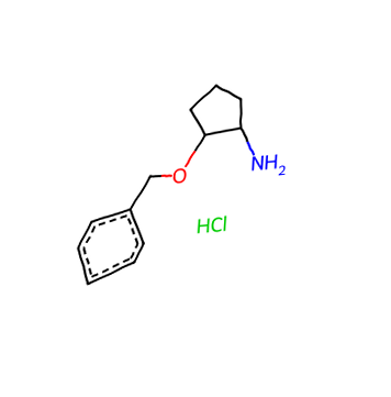 Cl.NC1CCCC1OCc1ccccc1